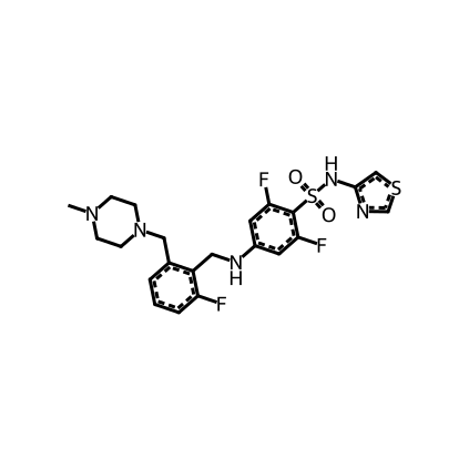 CN1CCN(Cc2cccc(F)c2CNc2cc(F)c(S(=O)(=O)Nc3cscn3)c(F)c2)CC1